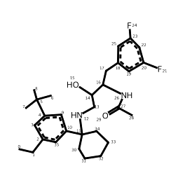 CCc1cc(C(C)(C)C)cc(C2(NCC(O)C(Cc3cc(F)cc(F)c3)NC(C)=O)CCCCC2)c1